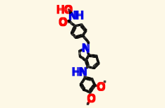 COc1ccc(Nc2cccc3c2CCN3Cc2ccc(C(=O)NO)cc2)cc1OC